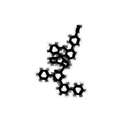 N#Cc1ccc(-c2cccc3c2Sc2ccccc2C32c3ccccc3-c3c(-c4nc(-c5ccccc5)nc(-c5cccc(-c6ccccc6)c5)n4)cccc32)cc1